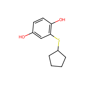 Oc1ccc(O)c(SC2CCCC2)c1